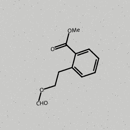 COC(=O)c1ccccc1CCOC=O